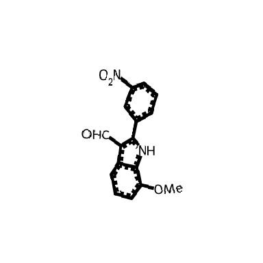 COc1cccc2c(C=O)c(-c3cccc([N+](=O)[O-])c3)[nH]c12